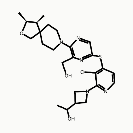 CC(O)C1CN(c2nccc(Sc3cnc(N4CCC5(CC4)CO[C@@H](C)[C@H]5C)c(CO)n3)c2Cl)C1